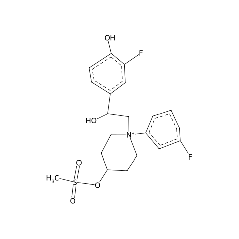 CS(=O)(=O)OC1CC[N+](CC(O)c2ccc(O)c(F)c2)(c2cccc(F)c2)CC1